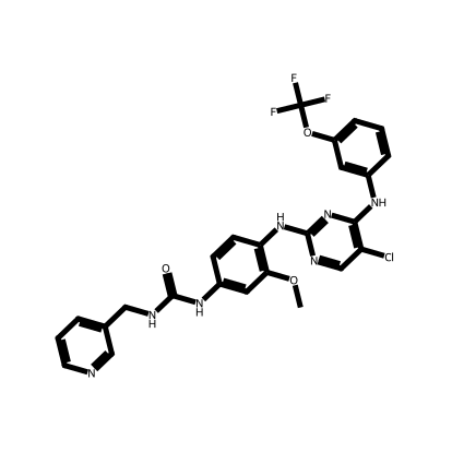 COc1cc(NC(=O)NCc2cccnc2)ccc1Nc1ncc(Cl)c(Nc2cccc(OC(F)(F)F)c2)n1